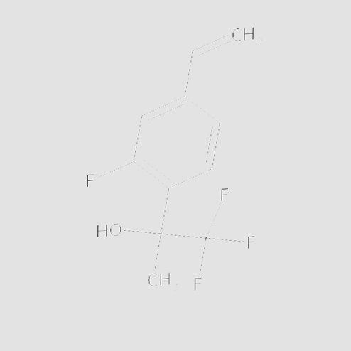 C=Cc1ccc(C(C)(O)C(F)(F)F)c(F)c1